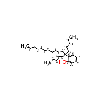 CCCCCCCCCCCC(CCCCC)(CCCCC)c1ccccc1O